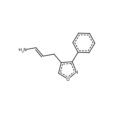 NC=CCc1conc1-c1ccccc1